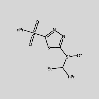 CCCC(CC)[S+]([O-])c1nnc(S(=O)(=O)CCC)s1